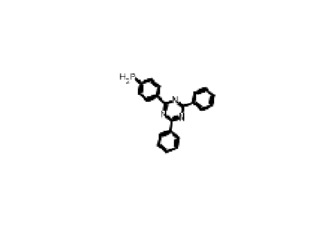 Pc1ccc(-c2nc(-c3ccccc3)nc(-c3ccccc3)n2)cc1